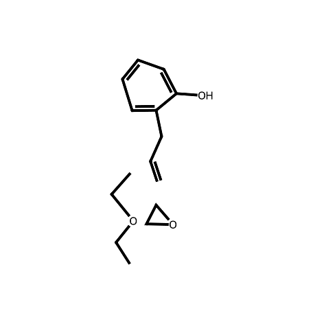 C1CO1.C=CCc1ccccc1O.CCOCC